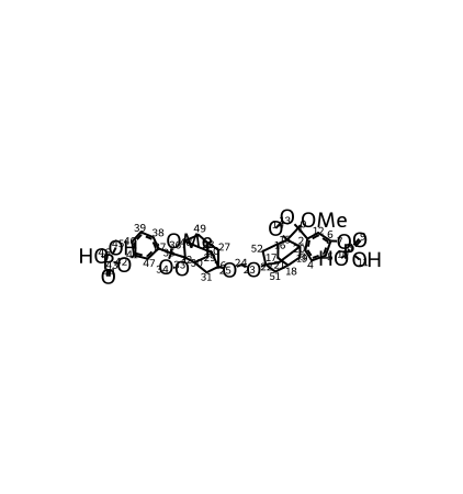 COC1(c2cccc(OP(=O)(O)O)c2)OOC12C1CC3CC2CC(OCOC24CC5CC(C2)C2(OOC2(OC)c2cccc(OP(=O)(O)O)c2)C(C5)C4)(C3)C1